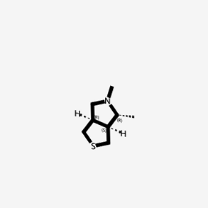 C[C@@H]1[C@H]2CSC[C@H]2CN1C